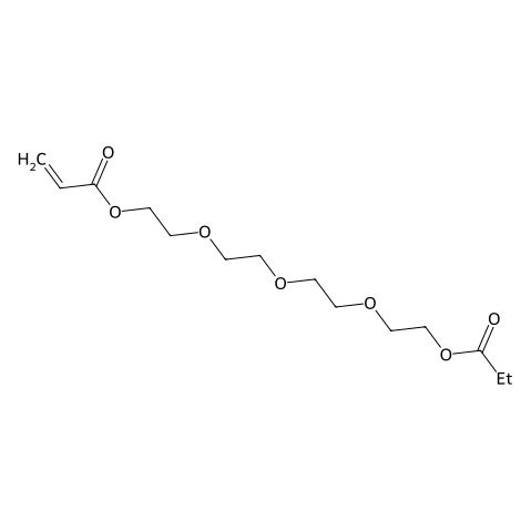 C=CC(=O)OCCOCCOCCOCCOC(=O)CC